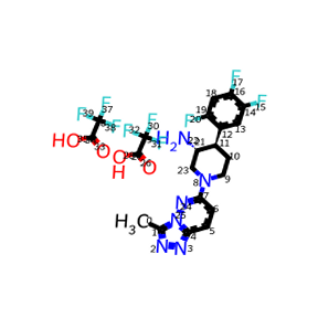 Cc1nnc2ccc(N3CC[C@H](c4cc(F)c(F)cc4F)[C@@H](N)C3)nn12.O=C(O)C(F)(F)F.O=C(O)C(F)(F)F